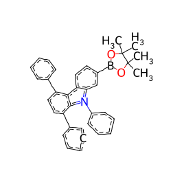 CC1(C)OB(c2ccc3c4c(-c5ccccc5)ccc(-c5ccccc5)c4n(-c4ccccc4)c3c2)OC1(C)C